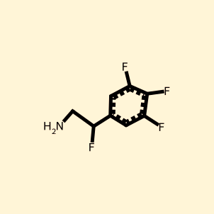 NCC(F)c1cc(F)c(F)c(F)c1